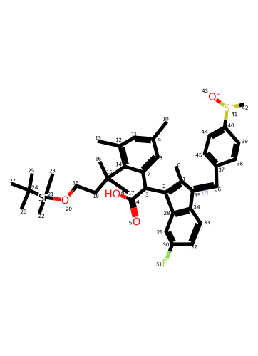 CC1=C(C(C(=O)O)c2cc(C)cc(C)c2C(C)(C)CCO[Si](C)(C)C(C)(C)C)c2cc(F)ccc2/C1=C/c1ccc([S+](C)[O-])cc1